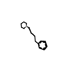 [CH](CCc1ccccc1)CN1CCCCC1